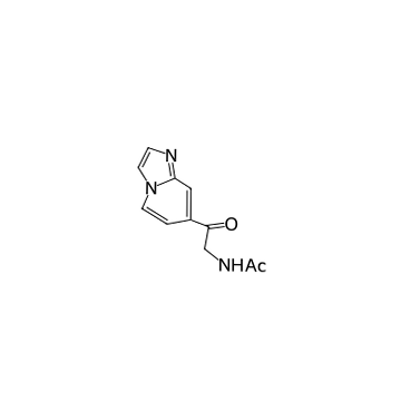 CC(=O)NCC(=O)c1ccn2ccnc2c1